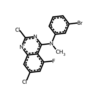 CN(c1cccc(Br)c1)c1nc(Cl)nc2cc(Cl)cc(F)c12